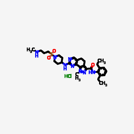 CCc1cccc(CC)c1NC(=O)c1nn(C)c2c1CCc1cnc(NC3CCN(S(=O)(=O)CCCNC)CC3)nc1-2.Cl